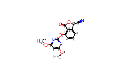 COc1cc(OC)nc(Oc2cccc3c2C(=O)OC3C#N)n1